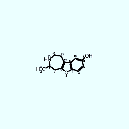 CC1Cc2oc3ccc(O)cc3c2CCN1